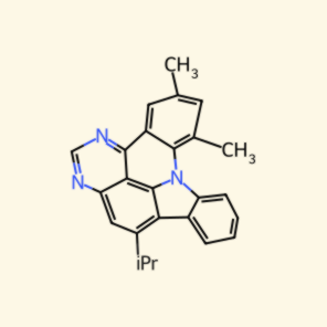 Cc1cc(C)c2c(c1)c1ncnc3cc(C(C)C)c4c5ccccc5n2c4c31